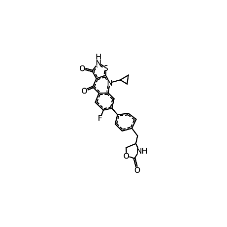 O=C1NC(Cc2ccc(-c3cc4c(cc3F)c(=O)c3c(=O)[nH]sc3n4C3CC3)cc2)CO1